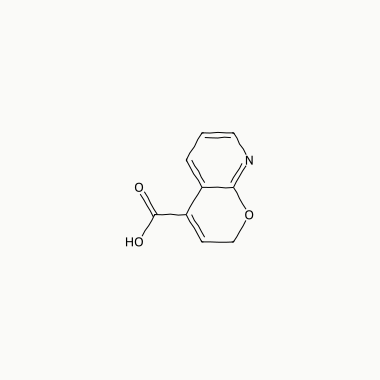 O=C(O)C1=CCOc2ncccc21